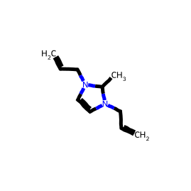 C=CCN1C=CN(CC=C)C1C